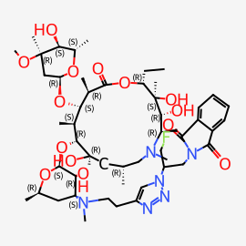 CC[C@H]1OC(=O)[C@H](C)[C@@H](O[C@H]2C[C@@](C)(OC)[C@@H](O)[C@H](C)O2)[C@H](C)[C@@H](O[C@@H]2O[C@H](C)C[C@H](N(C)CCc3cn(C(CF)CN4C(=O)c5ccccc5C4=O)nn3)[C@H]2O)[C@](C)(O)C[C@@H](C)CN(C)[C@H](C)[C@@H](O)[C@]1(C)O